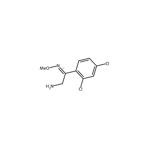 CO/N=C(\CN)c1ccc(Cl)cc1Cl